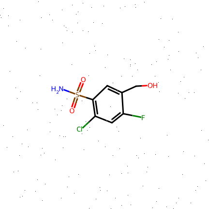 NS(=O)(=O)c1cc(CO)c(F)cc1Cl